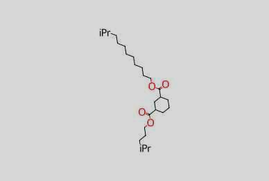 CC(C)CCCCCCCCCOC(=O)C1CCCC(C(=O)OCCCC(C)C)C1